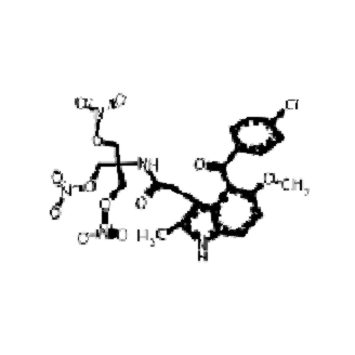 COc1ccc2[nH]c(C)c(CC(=O)NC(CO[N+](=O)[O-])(CO[N+](=O)[O-])CO[N+](=O)[O-])c2c1C(=O)c1ccc(Cl)cc1